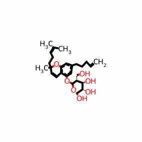 C=CCCCc1cc(OC2O[C@H](O)[C@@H](O)[C@H](O)[C@H]2CO)c2c(c1)OC(C)(CCC=C(C)C)C=C2